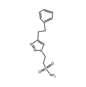 NS(=O)(=O)CCn1cc(CCc2ccccc2)nn1